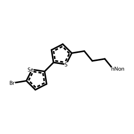 CCCCCCCCCCCCc1ccc(-c2ccc(Br)[se]2)s1